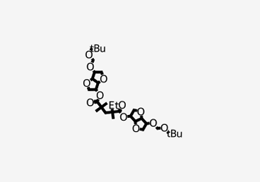 CCC(C)(CC(C)(C)C(=O)OC1COC2C(OCOC(C)(C)C)COC12)C(=O)OC1COC2C(OCOC(C)(C)C)COC12